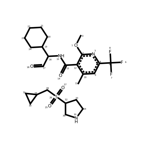 COc1nc(C(F)(F)F)cc(C)c1C(=O)NC(C=O)C1CCCCC1.O=S(=O)(CC1CC1)C1CCNC1